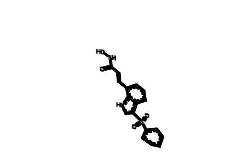 O=C(C=Cc1cccc2c(S(=O)(=O)c3ccccc3)c[nH]c12)NO